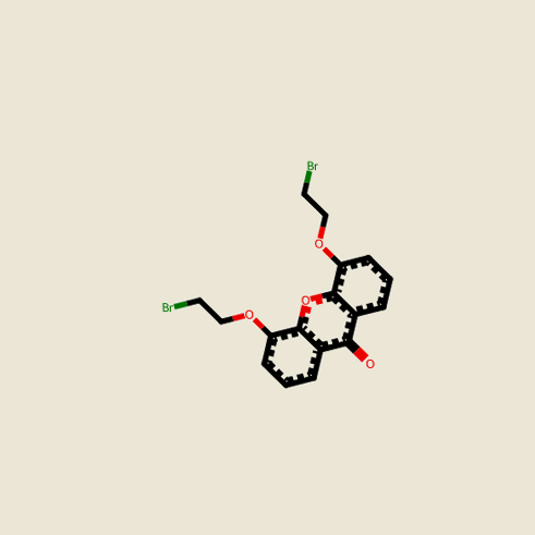 O=c1c2cccc(OCCBr)c2oc2c(OCCBr)cccc12